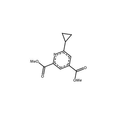 COC(=O)c1cc(C(=O)OC)nc(C2CC2)c1